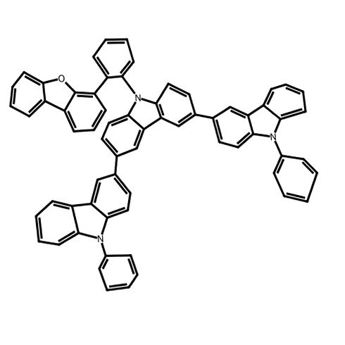 c1ccc(-n2c3ccccc3c3cc(-c4ccc5c(c4)c4cc(-c6ccc7c(c6)c6ccccc6n7-c6ccccc6)ccc4n5-c4ccccc4-c4cccc5c4oc4ccccc45)ccc32)cc1